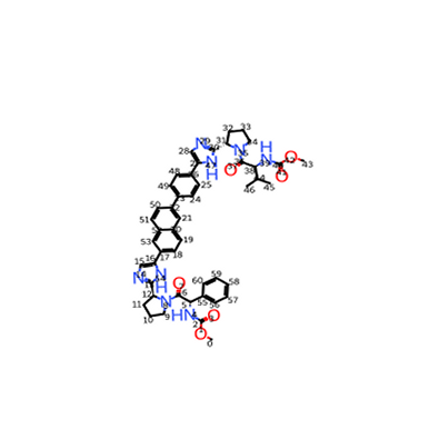 COC(=O)N[C@H](C(=O)N1CCC[C@H]1c1ncc(-c2ccc3cc(-c4ccc(-c5cnc([C@@H]6CCCN6C(=O)[C@@H](NC(=O)OC)C(C)C)[nH]5)cc4)ccc3c2)[nH]1)c1ccccc1